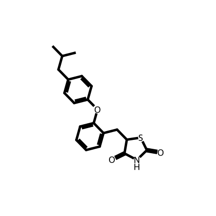 CC(C)Cc1ccc(Oc2ccccc2CC2SC(=O)NC2=O)cc1